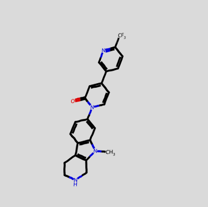 Cn1c2c(c3ccc(-n4ccc(-c5ccc(C(F)(F)F)nc5)cc4=O)cc31)CCNC2